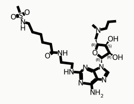 CCCN(C)C[C@H]1O[C@@H](n2cnc3c(N)nc(NCCNC(=O)CCCCCNS(C)(=O)=O)nc32)[C@H](O)[C@@H]1O